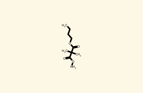 CCCCOC(=O)C(C)(C)C(=O)ON